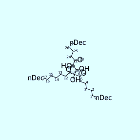 CCCCCCCCCCCCCCCC(=O)C(O)(C(=O)CCCCCCCCCCCCCCC)C(O)C(O)C(=O)CCCCCCCCCCCCC